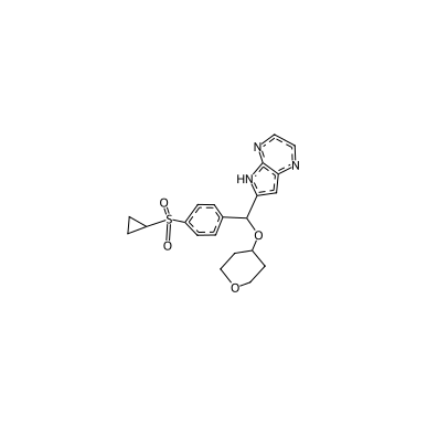 O=S(=O)(c1ccc(C(OC2CCOCC2)c2cc3nccnc3[nH]2)cc1)C1CC1